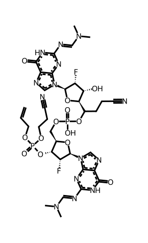 C=CCOP(=O)(OCCC#N)O[C@H]1[C@@H](F)[C@H](n2cnc3c(=O)[nH]c(N=CN(C)C)nc32)O[C@@H]1COP(=O)(O)OC(CCC#N)[C@H]1O[C@@H](n2cnc3c(=O)[nH]c(N=CN(C)C)nc32)[C@H](F)[C@@H]1O